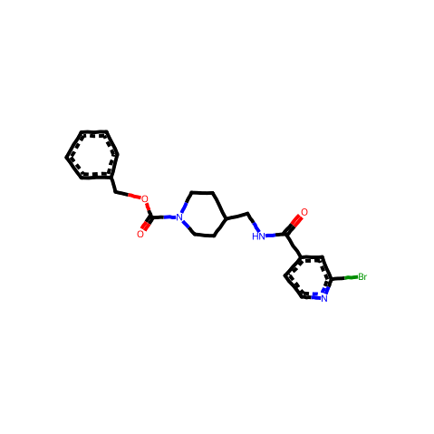 O=C(NCC1CCN(C(=O)OCc2ccccc2)CC1)c1ccnc(Br)c1